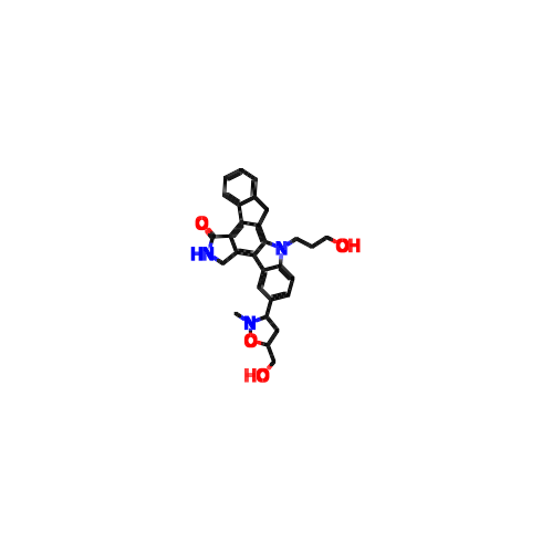 CN1OC(CO)CC1c1ccc2c(c1)c1c3c(c4c(c1n2CCCO)Cc1ccccc1-4)C(=O)NC3